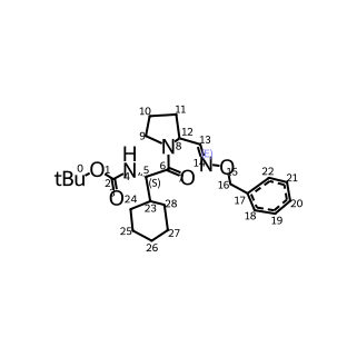 CC(C)(C)OC(=O)N[C@H](C(=O)N1CCCC1/C=N/OCc1ccccc1)C1CCCCC1